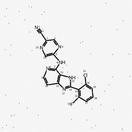 N#Cc1cnc(Nc2nccc3nc(-c4c(F)cccc4Cl)[nH]c23)cn1